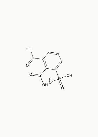 O=C(O)c1cccc(P(=O)(O)O)c1C(=O)O